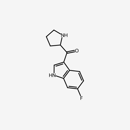 O=C(c1c[nH]c2cc(F)ccc12)C1CCCN1